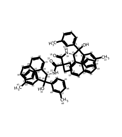 Cc1cccc(C(O)(c2cccc(C)c2)[C@@H](NC(=O)C2(C(=O)N[C@@H](c3cccc4ccccc34)C(O)(c3cccc(C)c3)c3cccc(C)c3)CCC2)c2cccc3ccccc23)c1